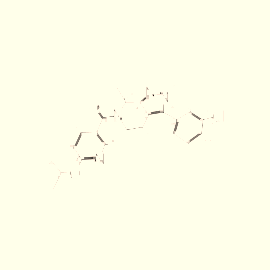 CC(C)Oc1ccc(C(=O)N2CCc3c(nn(C)c3-c3cccc(Cl)c3)C2C)cn1